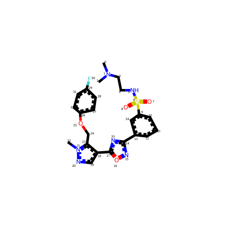 CN(C)CCNS(=O)(=O)c1cccc(-c2noc(-c3cnn(C)c3COc3ccc(F)cc3)n2)c1